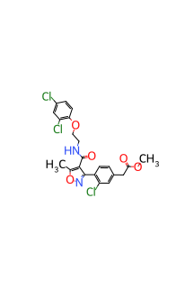 COC(=O)Cc1ccc(-c2noc(C)c2C(=O)NCCOc2ccc(Cl)cc2Cl)c(Cl)c1